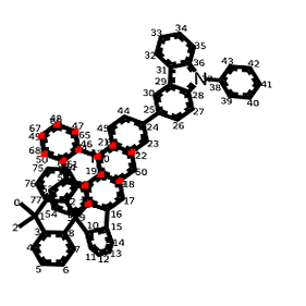 CC1(C)c2ccccc2C2(c3ccccc3-c3ccc(N(c4ccc(-c5ccc6c(c5)c5ccccc5n6-c5ccccc5)cc4)c4ccccc4-c4ccccc4-c4ccccc4-c4ccccc4)cc32)c2ccccc21